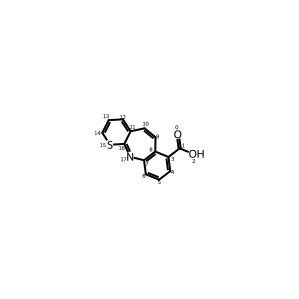 O=C(O)c1cccc2c1C=CC1=CC=CSC1=N2